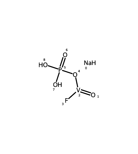 [NaH].[O]=[V]([F])[O]P(=O)(O)O